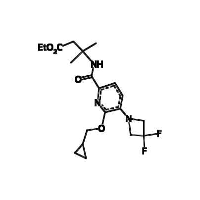 CCOC(=O)CC(C)(C)NC(=O)c1ccc(N2CC(F)(F)C2)c(OCC2CC2)n1